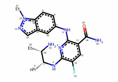 CCC[C@@H](Nc1nc(Nc2ccc3c(cnn3CC)c2)c(C(N)=O)cc1F)[C@@H](N)CC